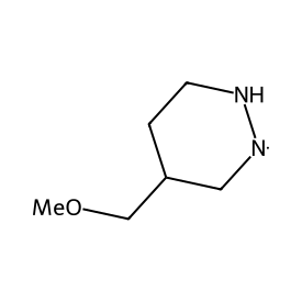 COCC1CCN[N]C1